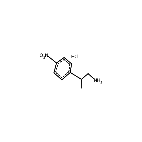 CC(CN)c1ccc([N+](=O)[O-])cc1.Cl